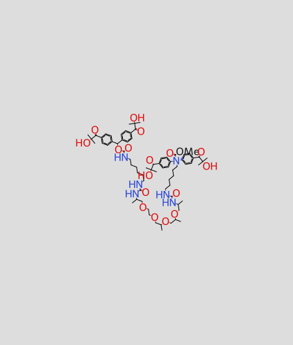 COC(=O)[N+](CCCCCCNC(=O)NC(C)COC(C)COC(C)COCCOCC(C)NC(=O)NCCCCCCNC(=O)OC(c1ccc(C(=O)C(C)(C)O)cc1)c1ccc(C(=O)C(C)(C)O)cc1)(c1ccc(C(=O)C(C)(C)O)cc1)c1ccc(C(=O)C(C)(C)O)cc1